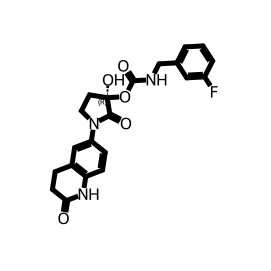 O=C1CCc2cc(N3CC[C@@](O)(OC(=O)NCc4cccc(F)c4)C3=O)ccc2N1